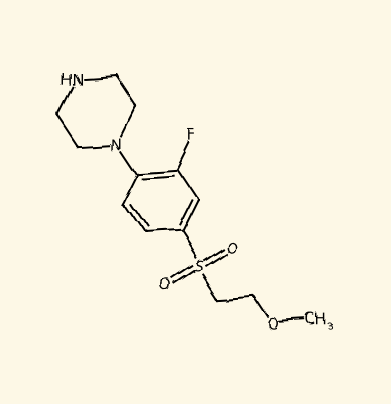 COCCS(=O)(=O)c1ccc(N2CCNCC2)c(F)c1